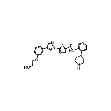 O=C(Nc1cnccc1N1CCNCC1)c1csc(-n2cc(-c3cccc(OCCO)c3)cn2)n1